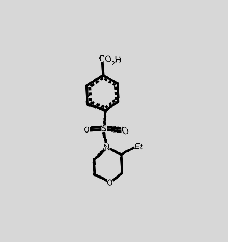 CCC1COCCN1S(=O)(=O)c1ccc(C(=O)O)cc1